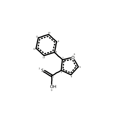 OC(=S)c1ccoc1-c1ccccc1